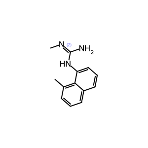 C/N=C(/N)Nc1cccc2cccc(C)c12